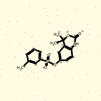 Cc1cccc(S(=O)(=O)Oc2ccc3c(c2)C(C)(C)OC(=O)N3)c1